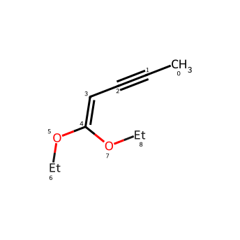 CC#CC=C(OCC)OCC